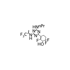 C=C(Nc1nc(NCCC)nc(C2=C(F)C(O)C(F)(F)CC2)n1)C(F)(F)F